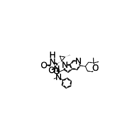 C[C@H]1C[C@]1(c1noc(=O)[nH]1)n1c(C(=O)N(C)c2ccccc2)cc2cc(C3CCOC(C)(C)C3)ncc21